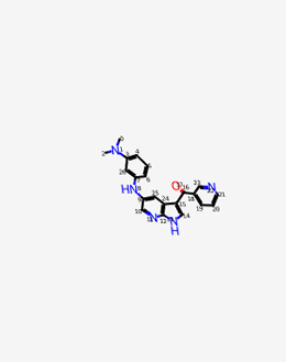 CN(C)c1cccc(Nc2cnc3[nH]cc(C(=O)c4cccnc4)c3c2)c1